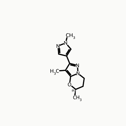 Cc1c(-c2cnn(C)c2)nn2c1O[C@H](C)CC2